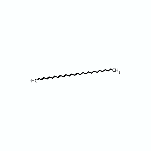 [CH]=CC=CC=CC=CC=CC=CC=CC=CCCCCCCCCCCCCC